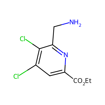 CCOC(=O)c1cc(Cl)c(Cl)c(CN)n1